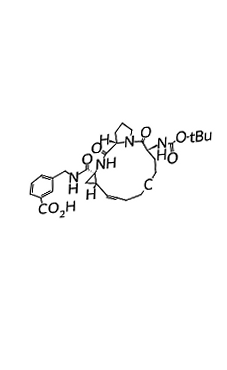 CC(C)(C)OC(=O)N[C@H]1CCCCC/C=C\[C@@H]2C[C@@]2(C(=O)NCc2cccc(C(=O)O)c2)NC(=O)[C@@H]2CCCN2C1=O